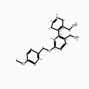 COc1ccc(COc2ccc(CO)c(C3=C(CO)CN=CC3)n2)cc1